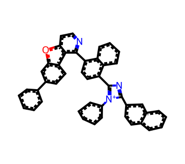 c1ccc(-c2ccc3c(c2)oc2ccnc(-c4ccc(C5=[N+](c6ccccc6)C(c6ccc7ccccc7c6)=N5)c5ccccc45)c23)cc1